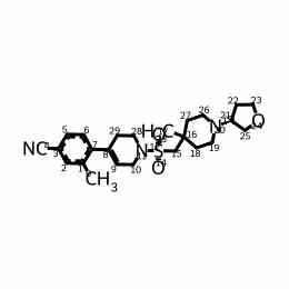 Cc1cc(C#N)ccc1C1=CCN(S(=O)(=O)CC2(C)CCN([C@H]3CCOC3)CC2)CC1